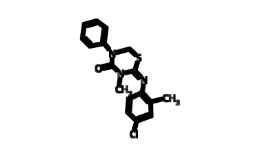 Cc1cc(Cl)ccc1N=C1SCN(c2ccccc2)C(=O)N1C